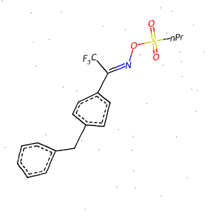 CCCS(=O)(=O)O/N=C(/c1ccc(Cc2ccccc2)cc1)C(F)(F)F